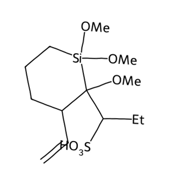 C=CC1CCC[Si](OC)(OC)C1(OC)C(CC)S(=O)(=O)O